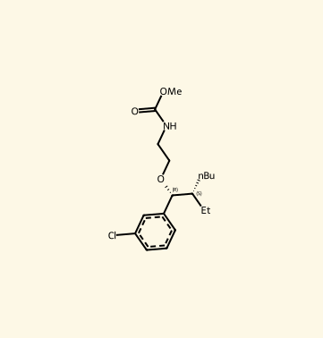 CCCC[C@H](CC)[C@@H](OCCNC(=O)OC)c1cccc(Cl)c1